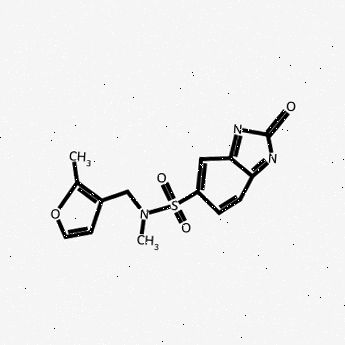 Cc1occc1CN(C)S(=O)(=O)c1ccc2c(c1)=NC(=O)N=2